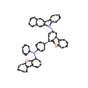 c1ccc(N(c2ccc(-c3cc(-n4c5ccccc5c5cc6ccccc6cc54)cc4c3sc3ccccc34)cc2)c2cccc3c2oc2ccccc23)cc1